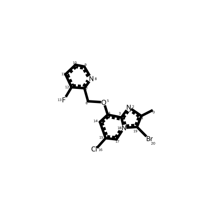 Cc1nc2c(OCc3ncccc3F)cc(Cl)cn2c1Br